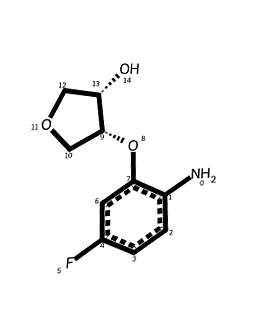 Nc1ccc(F)cc1O[C@@H]1COC[C@@H]1O